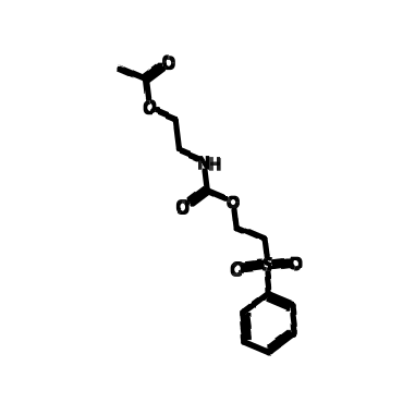 CC(=O)OCCNC(=O)OCCS(=O)(=O)c1ccccc1